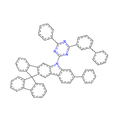 c1ccc(-c2cccc(-c3nc(-c4ccccc4)nc(-n4c5cc(-c6ccccc6)ccc5c5cc6c(cc54)-c4ccccc4C64c5ccccc5-c5ccccc54)n3)c2)cc1